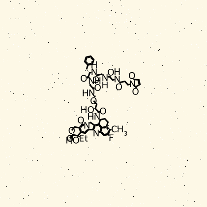 CC[C@@]1(O)C(=O)OCc2c1cc1n(c2=O)Cc2c-1nc1cc(F)c(C)c3c1c2[C@@H](NC(=O)[C@H](O)COCNC(=O)CNC(=O)[C@H](Cc1ccccc1)NC(=O)CNC(=O)CNC(=O)CCN1C(=O)C=CC1=O)CC3